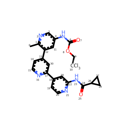 Cc1ncc(NC(=O)OCC(Cl)(Cl)Cl)cc1-c1ccnc(-c2ccnc(NC(=O)C3CC3)c2)c1